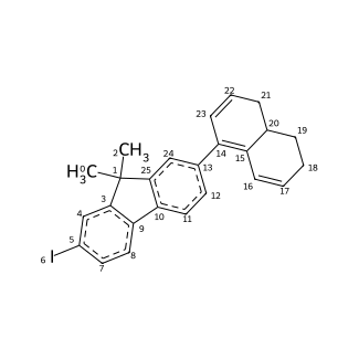 CC1(C)c2cc(I)ccc2-c2ccc(C3=C4C=CCCC4CC=C3)cc21